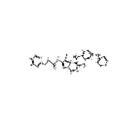 Cc1c(NC(=O)NCc2ccncc2)cn2ncc(C#N)c(Nc3ccc(Oc4ccccc4)cc3)c12